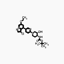 CCOc1cc(-c2ccc(N3CC[C@H](NC(=O)OC(C)(C)C)[C@@H](O)C3)nc2)c2c(Cl)cnn2c1